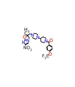 C[C@]1(CN2CCN(C3CCN(C(=O)c4ccc(OC(F)(F)F)cc4)CC3)CC2)Cn2cc([N+](=O)[O-])nc2O1